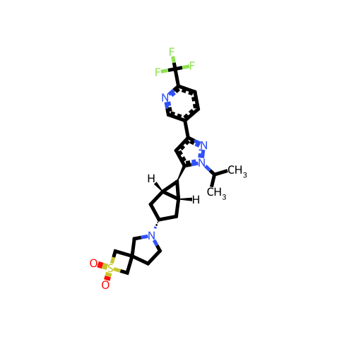 CC(C)n1nc(-c2ccc(C(F)(F)F)nc2)cc1[C@H]1[C@@H]2C[C@H](N3CCC4(C3)CS(=O)(=O)C4)C[C@@H]21